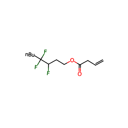 C=CCC(=O)OCCC(F)C(F)(F)CCCC